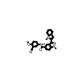 COc1ccc(NC(=O)c2ccc3c(c2)c(-c2cc4ccccc4n2C)nn3C)cc1C#N